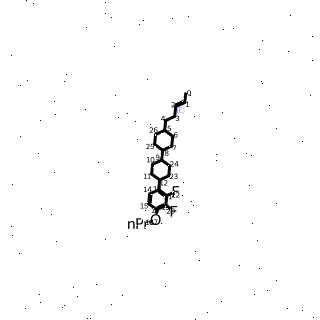 C/C=C/CCC1CCC(C2CCC(c3ccc(OCCC)c(F)c3F)CC2)CC1